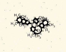 CCC1C2=C3C=CC1C(C)(C)CCCc1cc4c(cc1N2c1cc(C)ccc1B3c1cc2cc3c(cc2s1)C(C)(C)CCC3(C)C)C(C)(C)CCC4(C)C